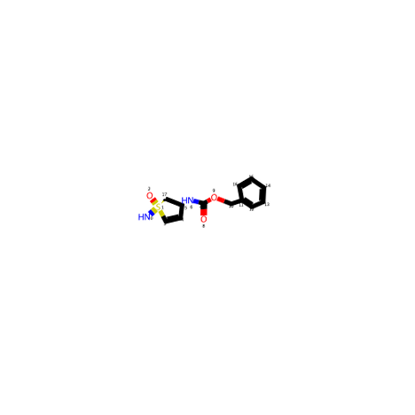 N=[S@@]1(=O)C=C[C@@H](NC(=O)OCc2ccccc2)C1